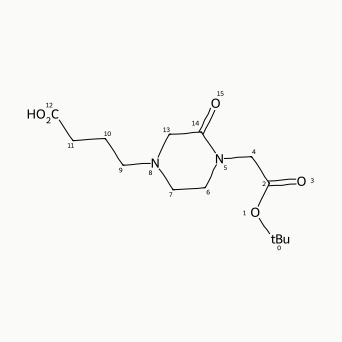 CC(C)(C)OC(=O)CN1CCN(CCCC(=O)O)CC1=O